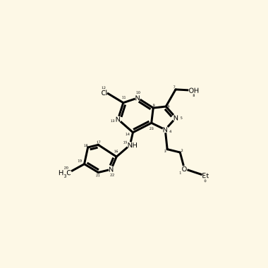 CCOCCn1nc(CO)c2nc(Cl)nc(Nc3ccc(C)cn3)c21